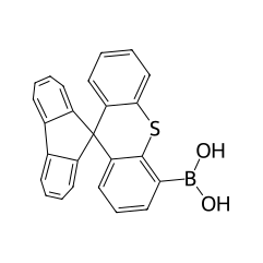 OB(O)c1cccc2c1Sc1ccccc1C21c2ccccc2-c2ccccc21